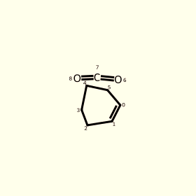 C1=CCCCC1.O=C=O